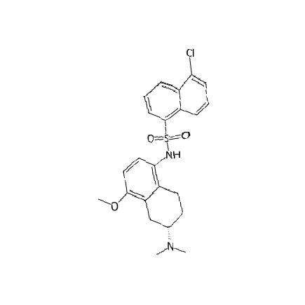 COc1ccc(NS(=O)(=O)c2cccc3c(Cl)cccc23)c2c1C[C@@H](N(C)C)CC2